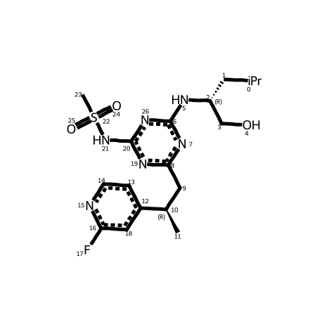 CC(C)C[C@H](CO)Nc1nc(C[C@@H](C)c2ccnc(F)c2)nc(NS(C)(=O)=O)n1